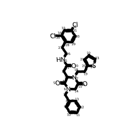 O=C(CC1C(=O)N(Cc2ccccc2)CC(=O)N1CCc1cccs1)NCCc1ccc(Cl)cc1Cl